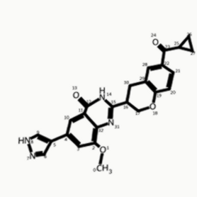 COc1cc(-c2cn[nH]c2)cc2c(=O)[nH]c(C3COc4ccc(C(=O)C5CC5)cc4C3)nc12